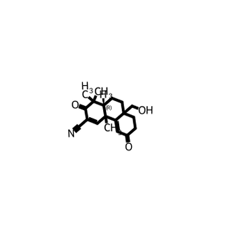 CC1(C)C(=O)C(C#N)=CC2(C)C3=CC(=O)CCC3(CO)CC[C@@H]12